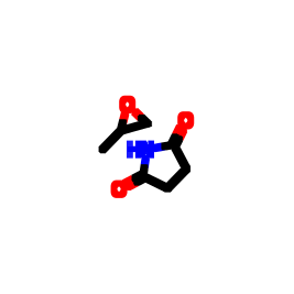 CC1CO1.O=C1CCC(=O)N1